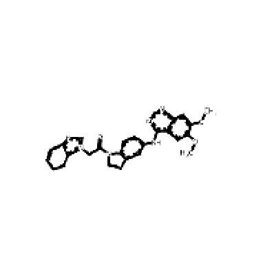 COc1cc2ncnc(Nc3ccc4c(c3)CCN4C(=O)Cn3cnc4c3CCC=C4)c2cc1OC